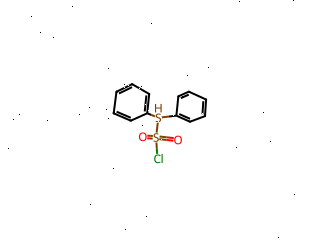 O=S(=O)(Cl)[SH](c1ccccc1)c1ccccc1